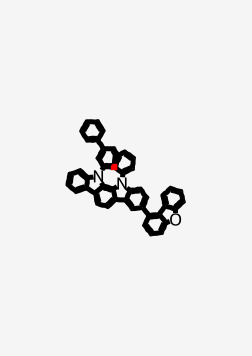 c1ccc(-c2cccc(-n3c4ccccc4c4ccc5c6cc(-c7cccc8oc9ccccc9c78)ccc6n(-c6ccccc6)c5c43)c2)cc1